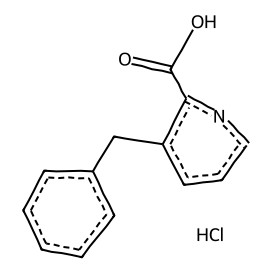 Cl.O=C(O)c1ncccc1Cc1ccccc1